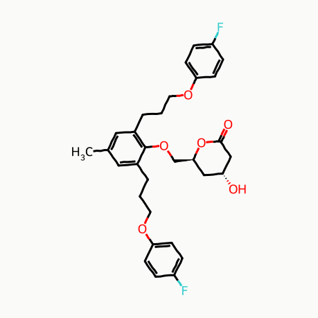 Cc1cc(CCCOc2ccc(F)cc2)c(OC[C@@H]2C[C@@H](O)CC(=O)O2)c(CCCOc2ccc(F)cc2)c1